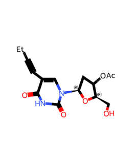 CCC#Cc1cn([C@H]2CC(OC(C)=O)[C@@H](CO)O2)c(=O)[nH]c1=O